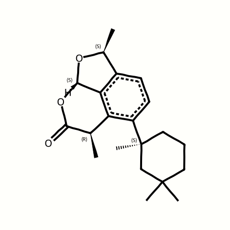 C[C@@H]1O[C@H]2OC(=O)[C@H](C)c3c([C@@]4(C)CCCC(C)(C)C4)ccc1c32